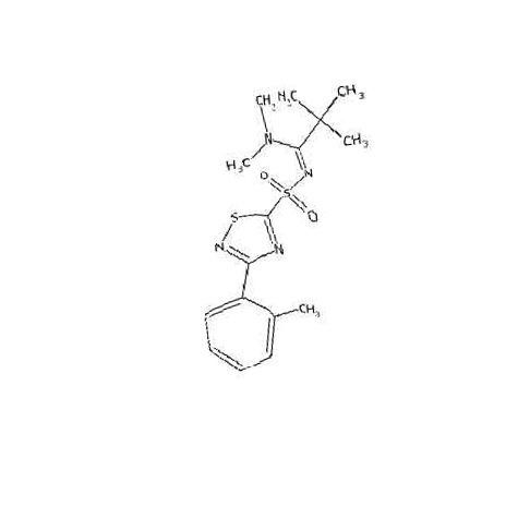 Cc1ccccc1-c1nsc(S(=O)(=O)N=C(N(C)C)C(C)(C)C)n1